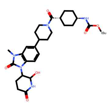 Cn1c(=O)n(C2CCC(=O)NC2O)c2ccc(C3CCN(C(=O)[C@H]4CC[C@H](NC(=O)OC(C)(C)C)CC4)CC3)cc21